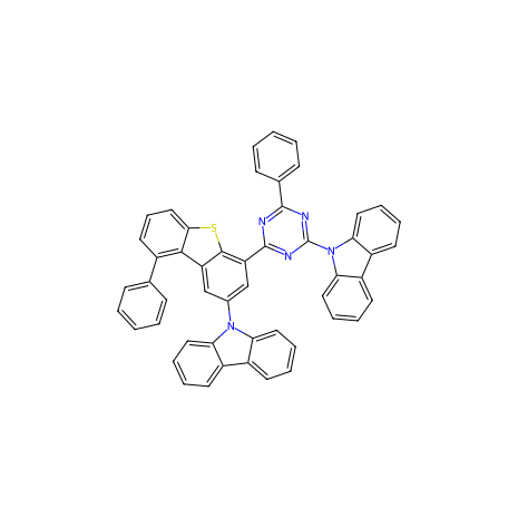 c1ccc(-c2nc(-c3cc(-n4c5ccccc5c5ccccc54)cc4c3sc3cccc(-c5ccccc5)c34)nc(-n3c4ccccc4c4ccccc43)n2)cc1